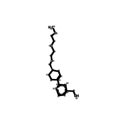 COCCOCCOC[C@H]1CC=C(c2nccc(CO)n2)CC1